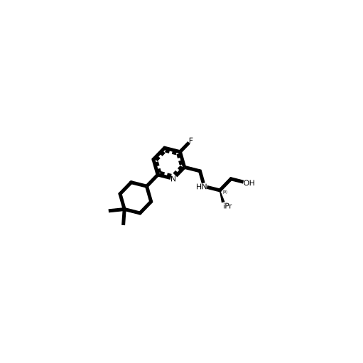 CC(C)[C@H](CO)NCc1nc(C2CCC(C)(C)CC2)ccc1F